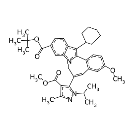 COC(=O)c1c(C)nn(C(C)C)c1C1=Cc2cc(OC)ccc2-c2c(C3CCCCC3)c3ccc(C(=O)OC(C)(C)C)cc3n2C1